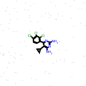 Nc1nc(N)c(C2CC2)c(-c2ccc(Cl)c(Cl)c2Cl)n1